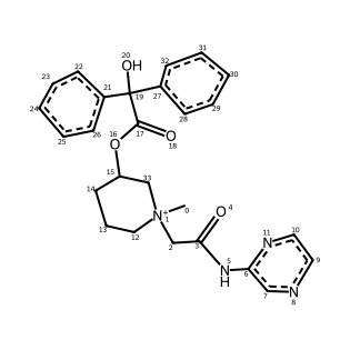 C[N+]1(CC(=O)Nc2cnccn2)CCCC(OC(=O)C(O)(c2ccccc2)c2ccccc2)C1